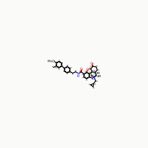 COc1ccc(-c2ccc(CCNC(=O)c3ccc4c5c3OC3C(=O)CC[C@H]6[C@@H](C4)N(CC4CC4)CC[C@]536)cc2)cc1C